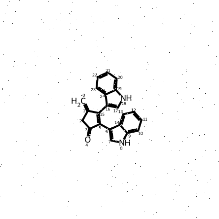 C=C1CC(=O)C(c2c[nH]c3ccccc23)=C1c1c[nH]c2ccccc12